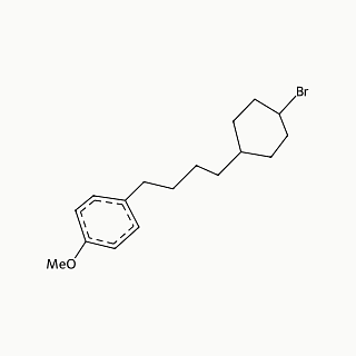 COc1ccc(CCCCC2CCC(Br)CC2)cc1